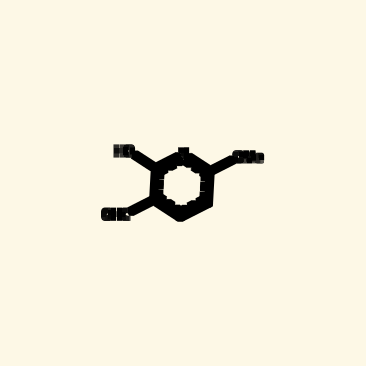 COc1ccc(C=O)c(O)n1